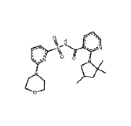 CC1CN(c2ncccc2C(=O)NS(=O)(=O)c2cccc(N3CCOCC3)n2)C(C)(C)C1